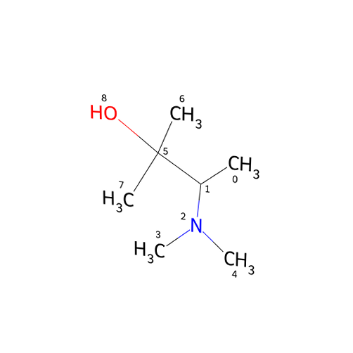 CC(N(C)C)C(C)(C)O